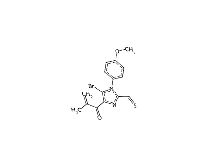 C=C(C)C(=O)c1nc(C=S)n(-c2ccc(OC)cc2)c1Br